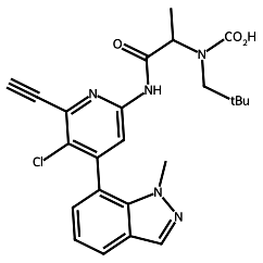 C#Cc1nc(NC(=O)C(C)N(CC(C)(C)C)C(=O)O)cc(-c2cccc3cnn(C)c23)c1Cl